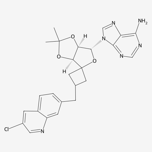 CC1(C)O[C@H]2[C@H](n3cnc4c(N)ncnc43)OC3(CC(Cc4ccc5cc(Cl)cnc5c4)C3)[C@H]2O1